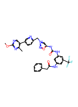 COc1ncc(-c2ccc(C[n+]3cc([N-]C(=O)Nc4cc(NC(=O)Cc5ccccc5)cc(C(F)(F)F)c4)on3)nc2)c(C)n1